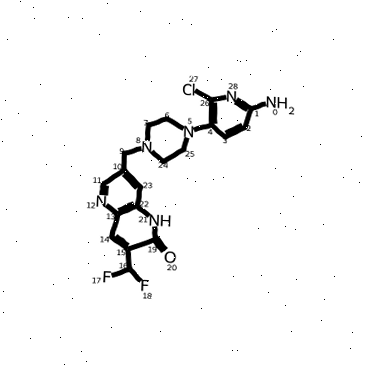 Nc1ccc(N2CCN(Cc3cnc4cc(C(F)F)c(=O)[nH]c4c3)CC2)c(Cl)n1